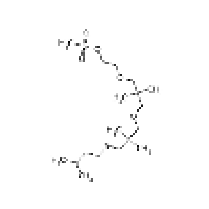 CC(C)CCSCC(C)(C)COCC(C)(C)COCCOS(C)(=O)=O